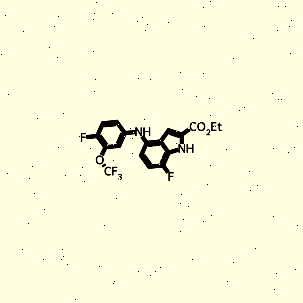 CCOC(=O)c1cc2c(Nc3ccc(F)c(OC(F)(F)F)c3)ccc(F)c2[nH]1